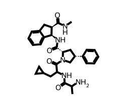 CNC(=O)[C@@H]1Cc2ccccc2[C@@H]1NC(=O)[C@@H]1C[C@H](c2ccccc2)CN1C(=O)C(CC1CC1)NC(=O)C(C)N